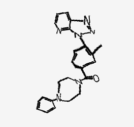 Cc1cc(C(=O)N2CCN(c3ccccc3)CC2)ccc1-n1nnc2cccnc21